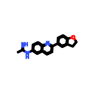 CC(=N)Nc1ccc2nc(-c3ccc4c(c3)CCO4)ccc2c1